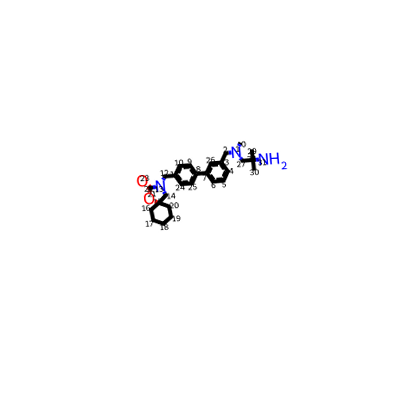 CN(Cc1cccc(-c2ccc(CN3CC4(CCCCC4)OC3=O)cc2)c1)CC(C)(C)N